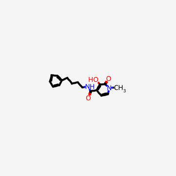 Cn1ccc(C(=O)NCCCCc2ccccc2)c(O)c1=O